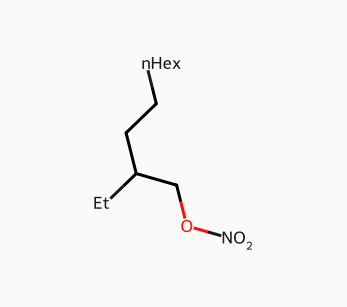 CCCCCCCCC(CC)CO[N+](=O)[O-]